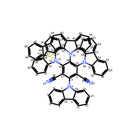 N#Cc1c(-n2c3ccccc3c3ccccc32)c(C#N)c(-n2c3ccccc3c3ccccc32)c(-n2c3ccccc3c3ccc4c5ccccc5sc4c32)c1-n1c2ccccc2c2ccccc21